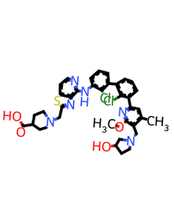 COc1nc(-c2cccc(-c3cccc(Nc4nccc5sc(CN6CCC(C(=O)O)CC6)nc45)c3Cl)c2Cl)cc(C)c1CN1CCC(O)C1